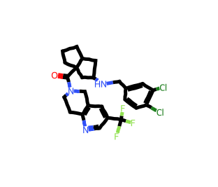 O=C(N1CCc2ncc(C(F)(F)F)cc2C1)C12CCCC1CC(NCc1ccc(Cl)c(Cl)c1)C2